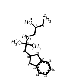 CC[C@H](O)CNC(C)(C)CC1Cc2ccccc2C1